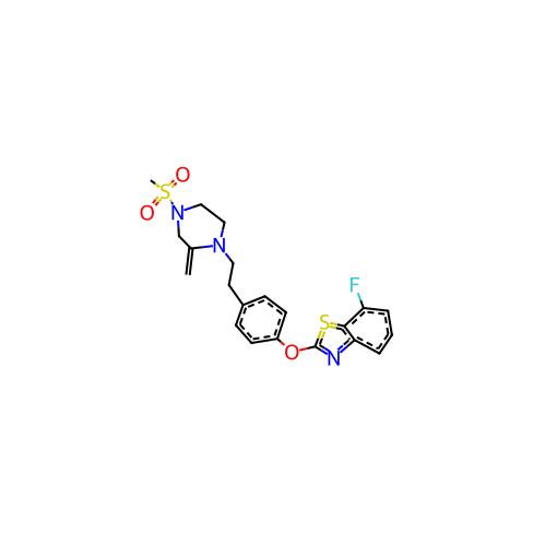 C=C1CN(S(C)(=O)=O)CCN1CCc1ccc(Oc2nc3cccc(F)c3s2)cc1